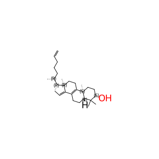 C=CCCC[C@@H](C)[C@H]1CC=C2C3=C(CC[C@@]21C)[C@@]1(C)CC[C@H](O)C(C)(C)[C@@H]1CC3